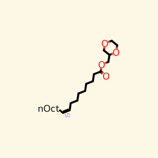 CCCCCCCC/C=C\CCCCCCCC(=O)OCC1COCCO1